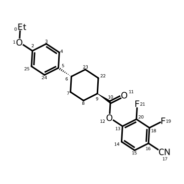 CCOc1ccc([C@H]2CC[C@H](C(=O)Oc3ccc(C#N)c(F)c3F)CC2)cc1